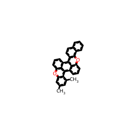 Cc1cc(C)c2c(c1)oc1cccc3c1c2c1cccc2oc4c5ccccc5ccc4c3c21